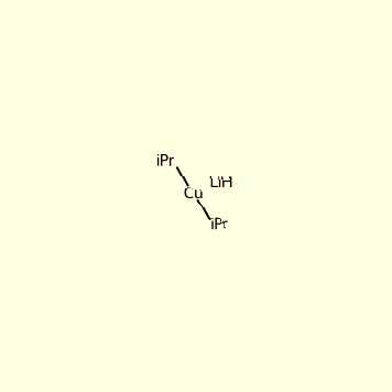 C[CH](C)[Cu][CH](C)C.[LiH]